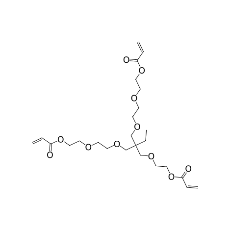 C=CC(=O)OCCOCCOCC(CC)(COCCOCCOC(=O)C=C)COCCOC(=O)C=C